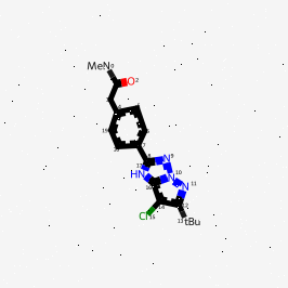 CNC(=O)Cc1ccc(-c2nn3nc(C(C)(C)C)c(Cl)c3[nH]2)cc1